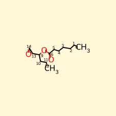 CCCCCCC(=O)OC(CCC)C1CO1